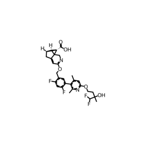 Cc1cc(OCCC(C)(O)C(F)F)nc(C)c1-c1cc(COC2=NCC34C(=C2)C[C@@H]2[C@H]3[C@]24C(=O)O)c(F)cc1F